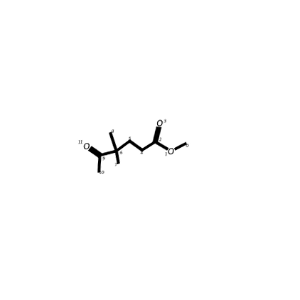 COC(=O)CCC(C)(C)C(C)=O